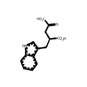 O=C(O)C(=O)CC(Cc1c[nH]c2ccccc12)C(=O)O